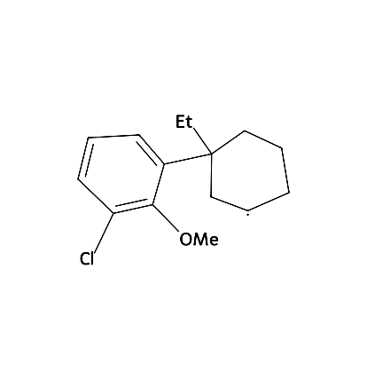 CCC1(c2cccc(Cl)c2OC)C[CH]CCC1